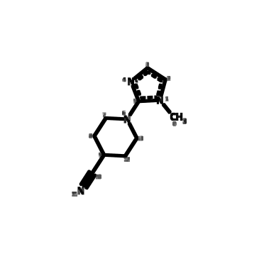 Cn1ccnc1N1CCC(C#N)CC1